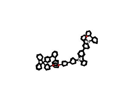 c1ccc(-c2ccccc2-c2ccc(C3(c4cccc(-c5ccc(-c6ccc(-c7ccc(-n8c9ccccc9c9cc(-c%10ccc%11c(c%10)c%10ccccc%10n%11-c%10ccccc%10-c%10ccccc%10)ccc98)cc7)cc6)cc5)c4)c4ccccc4-c4ccccc43)cc2)cc1